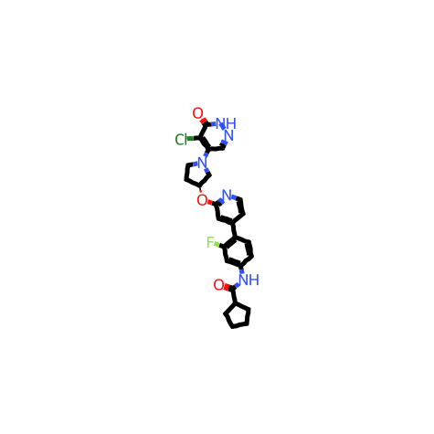 O=C(Nc1ccc(-c2ccnc(O[C@@H]3CCN(c4cn[nH]c(=O)c4Cl)C3)c2)c(F)c1)C1CCCC1